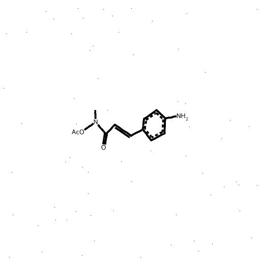 CC(=O)ON(C)C(=O)/C=C/c1ccc(N)cc1